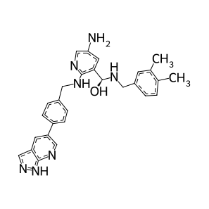 Cc1ccc(CN[C@@H](O)c2cc(N)cnc2NCc2ccc(-c3cnc4[nH]ncc4c3)cc2)cc1C